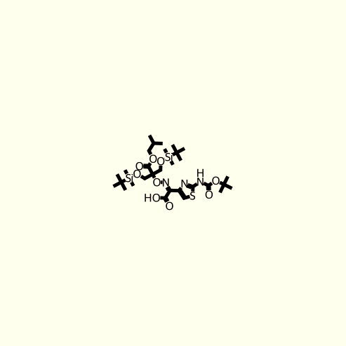 CC(C)COC(=O)C(CO[Si](C)(C)C(C)(C)C)(CO[Si](C)(C)C(C)(C)C)O/N=C(\C(=O)O)c1csc(NC(=O)OC(C)(C)C)n1